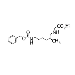 CCOC(=O)CNC[C@@H](C)CCCCNC(=O)OCc1ccccc1